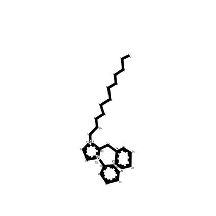 CCCCCCCCCCCC[n+]1ccn(-c2ccccc2)c1Cc1ccccc1